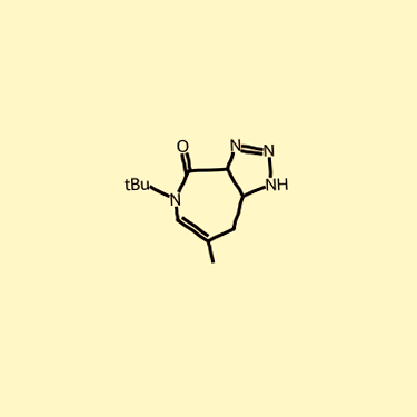 CC1=CN(C(C)(C)C)C(=O)C2N=NNC2C1